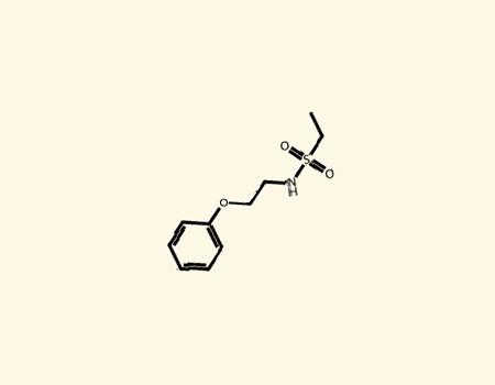 CCS(=O)(=O)NCCOc1cc[c]cc1